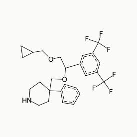 FC(F)(F)c1cc(C(COCC2CC2)OCC2(c3ccccc3)CCNCC2)cc(C(F)(F)F)c1